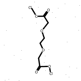 O=C(COCCOCC(=O)OCl)OCl